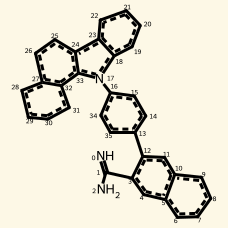 N=C(N)c1cc2ccccc2cc1-c1ccc(-n2c3ccccc3c3ccc4ccccc4c32)cc1